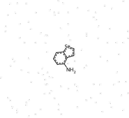 Nc1cccc2[se]ccc12